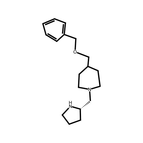 c1ccc(COCC2CCN(C[C@@H]3CCCN3)CC2)cc1